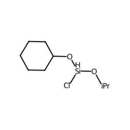 CC(C)O[SiH](Cl)OC1CCCCC1